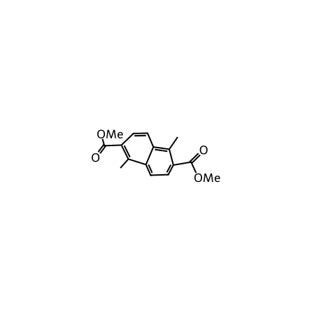 COC(=O)c1ccc2c(C)c(C(=O)OC)ccc2c1C